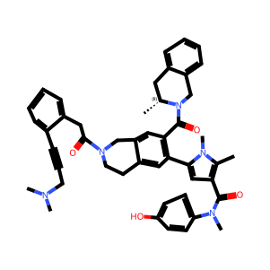 Cc1c(C(=O)N(C)c2ccc(O)cc2)cc(-c2cc3c(cc2C(=O)N2Cc4ccccc4C[C@H]2C)CN(C(=O)Cc2ccccc2C#CCN(C)C)CC3)n1C